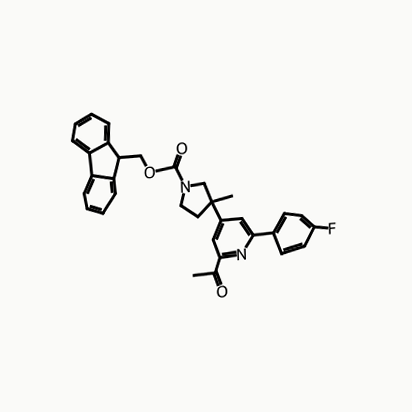 CC(=O)c1cc(C2(C)CCN(C(=O)OCC3c4ccccc4-c4ccccc43)C2)cc(-c2ccc(F)cc2)n1